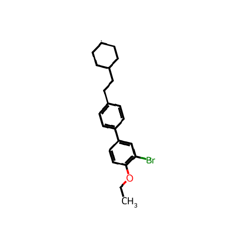 CCOc1ccc(-c2ccc(CCC3CC[CH]CC3)cc2)cc1Br